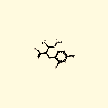 CCCCC(=O)C(Cc1ccc(Br)cc1F)C(C#N)=NOC